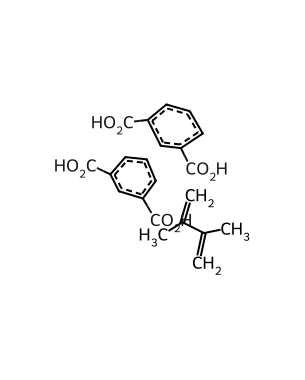 C=C(C)C(=C)C.O=C(O)c1cccc(C(=O)O)c1.O=C(O)c1cccc(C(=O)O)c1